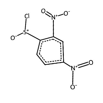 O=[N+]([O-])c1ccc([S+]([O-])Cl)c([N+](=O)[O-])c1